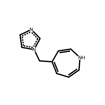 C1=CNC=CC(Cn2ccnc2)=C1